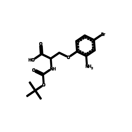 CC(C)(C)OC(=O)NC(COc1ccc(Br)cc1N)C(=O)O